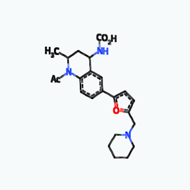 CC(=O)N1c2ccc(-c3ccc(CN4CCCCC4)o3)cc2C(NC(=O)O)CC1C